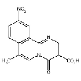 Cc1cn2c(=O)c(C(=O)O)cnc2c2cc([N+](=O)[O-])ccc12